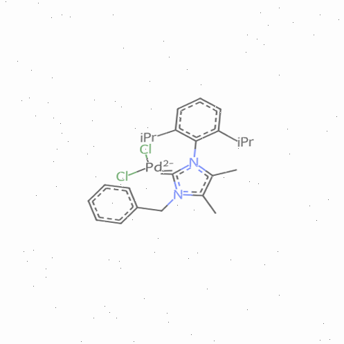 Cc1c(C)n(-c2c(C(C)C)cccc2C(C)C)[c](=[Pd-2]([Cl])[Cl])n1Cc1ccccc1